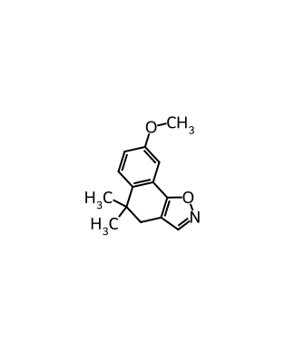 COc1ccc2c(c1)-c1oncc1CC2(C)C